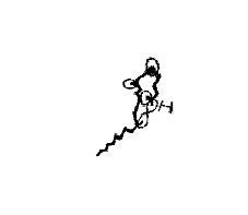 CCCCCCCCCC1OC1CC=CCC1OC1CC1OC1CCCC(=O)O